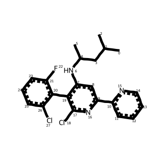 CC(C)CC(C)Nc1cc(-c2ccccn2)nc(Cl)c1-c1c(F)cccc1Cl